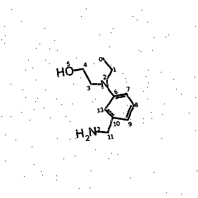 CCN(CCO)c1cccc(CN)c1